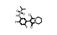 CC(C)S(=O)(=O)Nc1cc(-c2c(Cl)n3n(c2=O)CCCC3)c(F)cc1F